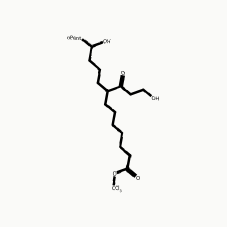 CCCCCC(O)CCCC(CCCCCCC(=O)OC(Cl)(Cl)Cl)C(=O)CCO